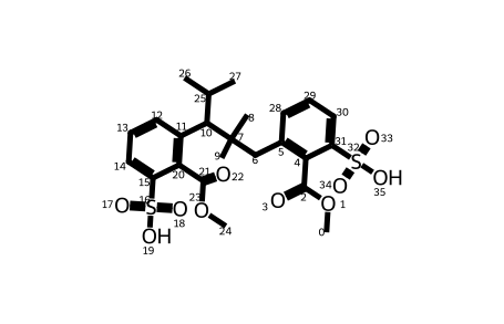 COC(=O)c1c(CC(C)(C)C(c2cccc(S(=O)(=O)O)c2C(=O)OC)C(C)C)cccc1S(=O)(=O)O